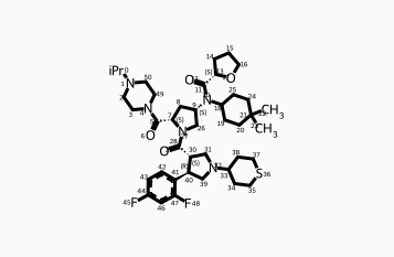 CC(C)N1CCN(C(=O)[C@@H]2C[C@H](N(C(=O)[C@@H]3CCCO3)C3CCC(C)(C)CC3)CN2C(=O)[C@@H]2CN(C3CCSCC3)C[C@H]2c2ccc(F)cc2F)CC1